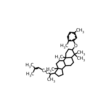 CC(C)=CCCC(C)C1CCC2C3CCC4C(C)(C)C(Oc5cc(C)ccc5C)CCC4(C)C3CCC12C